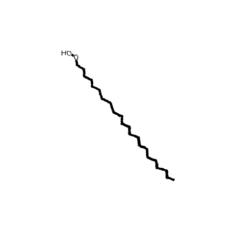 CCCCCCCCCCCCCCCCCCCCCCOO